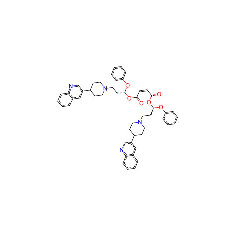 O=C(/C=C\C(=O)O[C@H](CCN1CCC(c2cnc3ccccc3c2)CC1)Oc1ccccc1)O[C@H](CCN1CCC(c2cnc3ccccc3c2)CC1)Oc1ccccc1